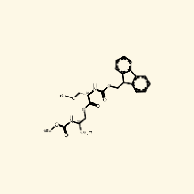 CC(C)(C)OC[C@H](NC(=O)OCC1c2ccccc2-c2ccccc21)C(=O)OC[C@H](NC(=O)OC(C)(C)C)C(=O)O